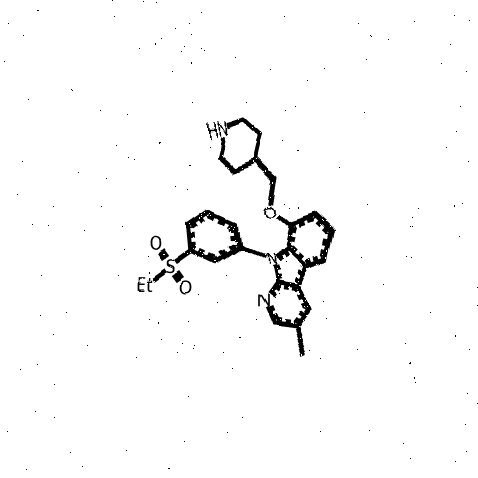 CCS(=O)(=O)c1cccc(-n2c3ncc(C)cc3c3cccc(OCC4CCNCC4)c32)c1